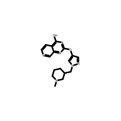 CN1CCCC(Cn2cc(Oc3nc(O)c4ccncc4n3)cn2)C1